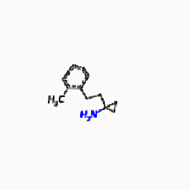 Cc1ccccc1CCC1(N)CC1